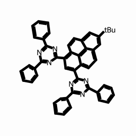 CC(C)(C)c1cc2ccc3c(-c4nc(-c5ccccc5)nc(-c5ccccc5)n4)cc(-c4nc(-c5ccccc5)nc(-c5ccccc5)n4)c4ccc(c1)c2c34